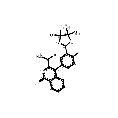 CC(O)c1oc(=O)c2ccccc2c1-c1ccc(F)c(C2OC(C)(C)C(C)(C)O2)c1